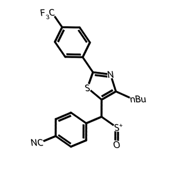 CCCCc1nc(-c2ccc(C(F)(F)F)cc2)sc1C([S+]=O)c1ccc(C#N)cc1